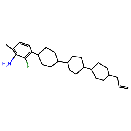 C=CCC1CCC(C2CCC(C3CCC(c4ccc(C)c(N)c4F)CC3)CC2)CC1